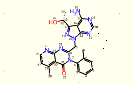 Cc1ccccc1-n1c(Cn2nc([C@@H](C)O)c3c(N)ncnc32)nc2nccc(C)c2c1=O